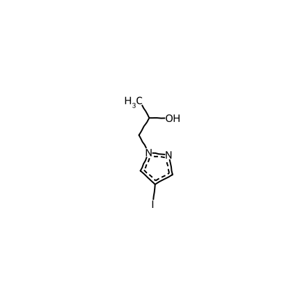 CC(O)Cn1cc(I)cn1